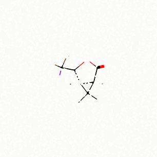 CC1(C)[C@@H]2C(=O)OC(C(Br)(Br)I)[C@@H]21